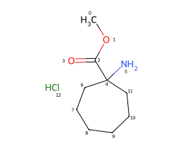 COC(=O)C1(N)CCCCCC1.Cl